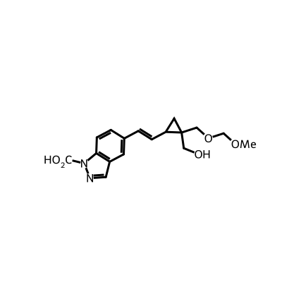 COCOCC1(CO)CC1C=Cc1ccc2c(cnn2C(=O)O)c1